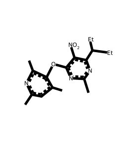 CCC(CC)c1nc(C)nc(Oc2c(C)cc(C)nc2C)c1[N+](=O)[O-]